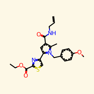 C=CCNC(=O)c1cc(-c2csc(C(=O)OCC)n2)n(Cc2ccc(OC)cc2)c1C